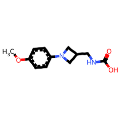 COc1ccc(N2CC(CNC(=O)O)C2)cc1